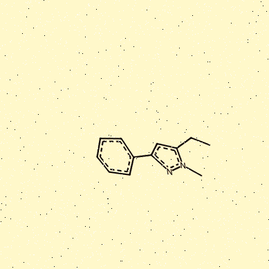 CCc1cc(-c2ccccc2)nn1C